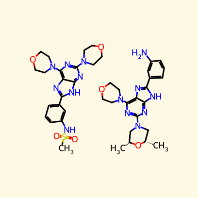 CS(=O)(=O)Nc1cccc(-c2nc3c(N4CCOCC4)nc(N4CCOCC4)nc3[nH]2)c1.C[C@@H]1CN(c2nc(N3CCOCC3)c3nc(-c4cccc(N)c4)[nH]c3n2)C[C@H](C)O1